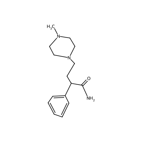 CN1CCN(CC[C](C(N)=O)c2ccccc2)CC1